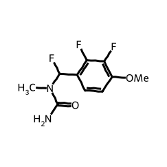 COc1ccc(C(F)N(C)C(N)=O)c(F)c1F